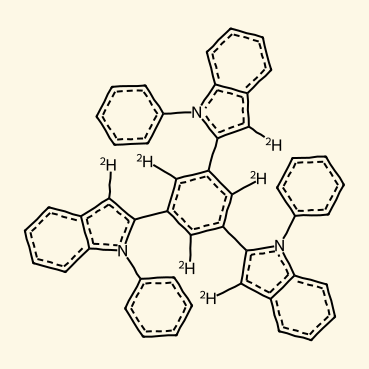 [2H]c1c(-c2c([2H])c3ccccc3n2-c2ccccc2)c([2H])c(-c2c([2H])c3ccccc3n2-c2ccccc2)c([2H])c1-c1c([2H])c2ccccc2n1-c1ccccc1